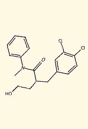 CN(C(=O)C(CCO)Cc1ccc(Cl)c(Cl)c1)c1ccccc1